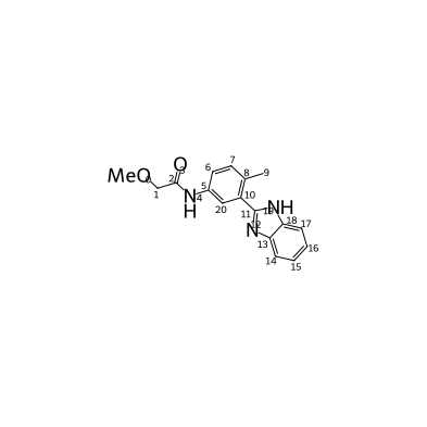 COCC(=O)Nc1ccc(C)c(-c2nc3ccccc3[nH]2)c1